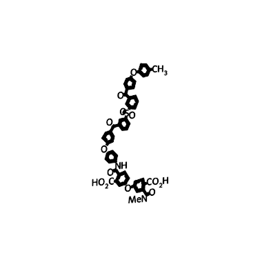 CNC(=O)c1cc(Oc2ccc(C(=O)Nc3ccc(Oc4ccc(C(=O)c5cccc(S(=O)(=O)c6cccc(C(=O)c7ccc(Oc8ccc(C)cc8)cc7)c6)c5)cc4)cc3)c(C(=O)O)c2)ccc1C(=O)O